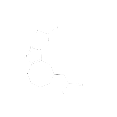 CC(C)CC1CCCCc2nnn(CC(C)C)c2C1